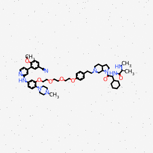 CN[C@@H](C)C(=O)N[C@H](C(=O)N1CCC2CCN(CCc3ccc(OCCOCCOCCOc4cc(Nc5cc(-c6cc(C#N)ccc6OC)ccn5)ccc4N4CCN(C)CC4)cc3)CC21)C1CCCCC1